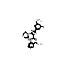 NCc1cc(F)cc(-c2nc(C(=O)Nc3ccccc3CC(=O)O)c(N3CCOCC3)s2)c1